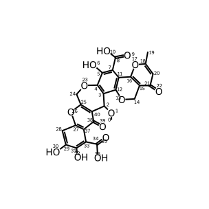 COC1c2c(c(O)c(C(=O)O)c3c2OCc2c-3oc(C)cc2=O)OCc2oc3cc(O)c(O)c(C(=O)O)c3c(=O)c21